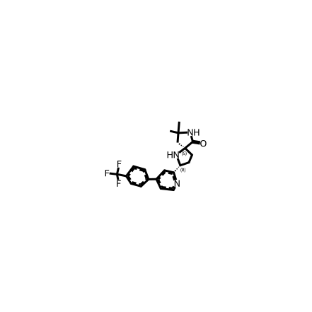 CC1(C)C[C@@]2(CC[C@H](c3cc(-c4ccc(C(F)(F)F)cc4)ccn3)N2)C(=O)N1